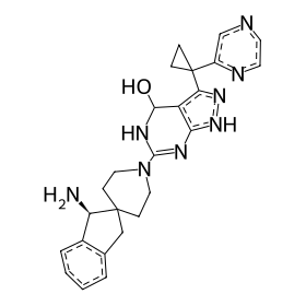 N[C@@H]1c2ccccc2CC12CCN(C1=Nc3[nH]nc(C4(c5cnccn5)CC4)c3C(O)N1)CC2